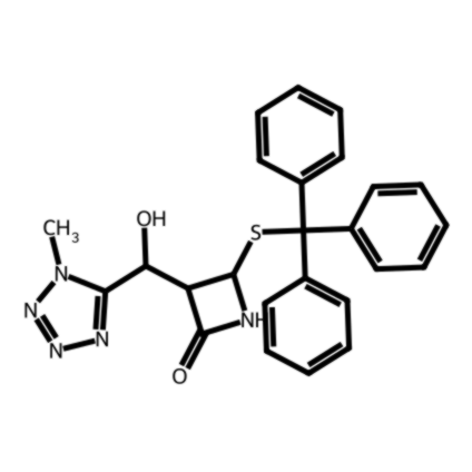 Cn1nnnc1C(O)C1C(=O)NC1SC(c1ccccc1)(c1ccccc1)c1ccccc1